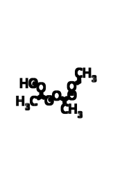 CCOOC(C)OOC(C)OO